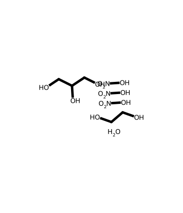 O.O=[N+]([O-])O.O=[N+]([O-])O.O=[N+]([O-])O.OCC(O)CO.OCCO